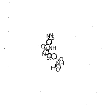 O=C([C@H]1CCc2c(sc3ncnc(Nc4cc5snnc5cc4Cl)c23)C1)N1C[C@H]2C[C@@H]1CO2